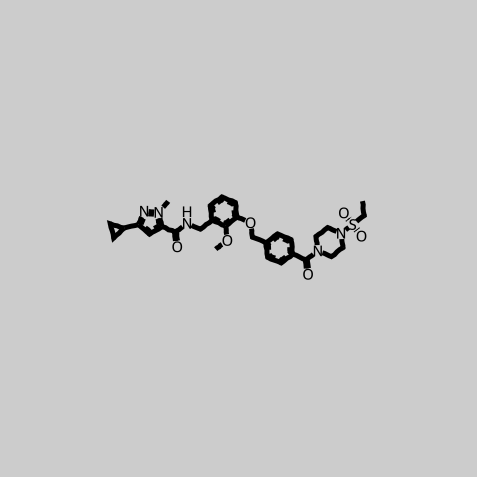 CCS(=O)(=O)N1CCN(C(=O)c2ccc(COc3cccc(CNC(=O)c4cc(C5CC5)nn4C)c3OC)cc2)CC1